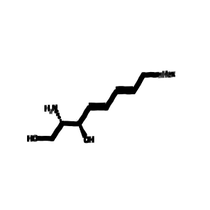 CCCCCCC/C=C/C=C/[C@@H](O)[C@@H](N)CO